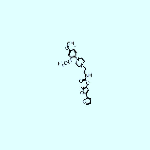 COc1ccc(N2CCN(CCNC(=O)Oc3cc(-c4ccco4)on3)CC2)c(OC)c1